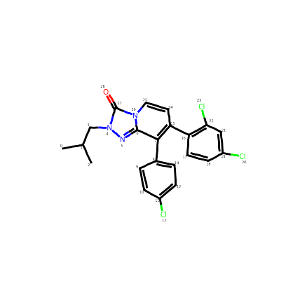 CC(C)Cn1nc2c(-c3ccc(Cl)cc3)c(-c3ccc(Cl)cc3Cl)ccn2c1=O